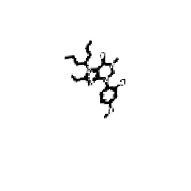 CCCC(CCC)n1c(CC)nc2c1C(=O)N(C)CN2c1ccc(OC)cc1Cl